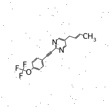 CC=CCc1cnc(C#Cc2ccc(OC(F)(F)F)cc2)nc1